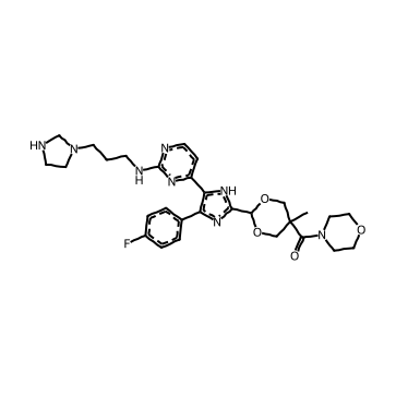 CC1(C(=O)N2CCOCC2)COC(c2nc(-c3ccc(F)cc3)c(-c3ccnc(NCCCN4CCNC4)n3)[nH]2)OC1